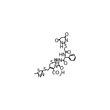 Cc1nnc(SCC2=C(C(=O)O)N3C(=O)C(NC(=O)C(NC(=O)CSC4=NC(=O)CC(=O)N4)c4ccccc4)[C@H]3SC2)s1